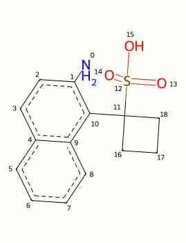 Nc1ccc2ccccc2c1C1(S(=O)(=O)O)CCC1